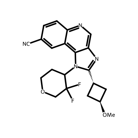 CO[C@H]1C[C@H](c2nc3cnc4ccc(C#N)cc4c3n2C2CCOCC2(F)F)C1